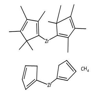 C.C1=CC[C]([Zr][C]2=CC=CC2)=C1.CC1=C(C)C(C)(C)[C]([Zr][C]2=C(C)C(C)=C(C)C2(C)C)=C1C